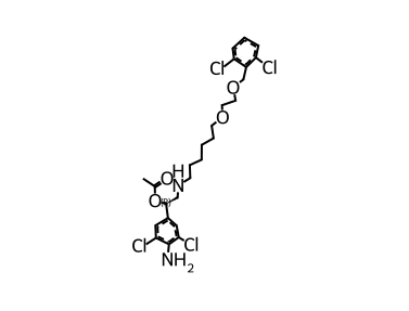 CC(=O)O[C@@H](CNCCCCCCOCCOCc1c(Cl)cccc1Cl)c1cc(Cl)c(N)c(Cl)c1